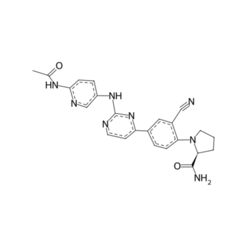 CC(=O)Nc1ccc(Nc2nccc(-c3ccc(N4CCC[C@H]4C(N)=O)c(C#N)c3)n2)cn1